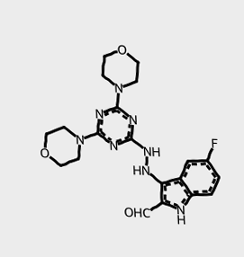 O=Cc1[nH]c2ccc(F)cc2c1NNc1nc(N2CCOCC2)nc(N2CCOCC2)n1